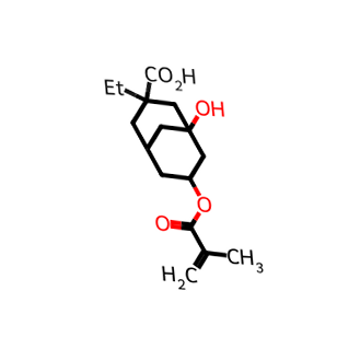 C=C(C)C(=O)OC1CC2CC(O)(C1)CC(CC)(C(=O)O)C2